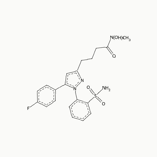 CN(O)C(=O)CCCc1cc(-c2ccc(F)cc2)n(-c2ccccc2S(N)(=O)=O)n1